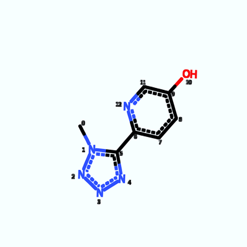 Cn1nnnc1-c1ccc(O)cn1